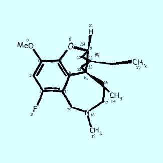 COc1cc(F)c2c3c1O[C@H]1C[C@@H](C)C(C)[C@@]31CCN(C)C2